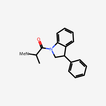 CNC(C)C(=O)N1CC(c2ccccc2)c2ccccc21